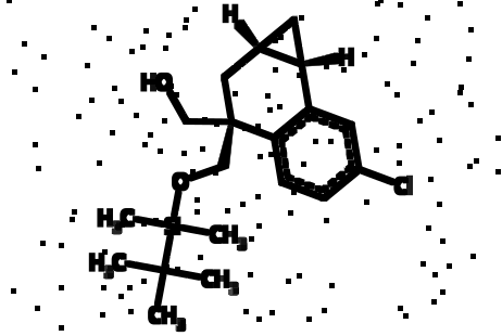 CC(C)(C)[Si](C)(C)OC[C@@]1(CO)C[C@@H]2C[C@@H]2c2cc(Cl)ccc21